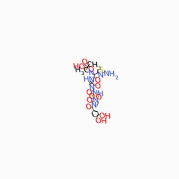 CC(C)(ON=C(C(=O)N[C@H]1CN(C(=O)NS(=O)(=O)N2CCN(C(=O)c3ccc(O)c(O)c3)C2=O)C1=O)c1csc(N)n1)C(=O)O